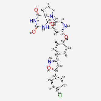 O=C1NC(=O)C2(CCCN2c2ccc(Oc3ccc(-c4cc(-c5ccc(Cl)cc5)on4)cc3)nc2)C(=O)N1